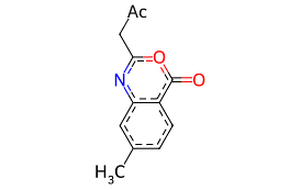 CC(=O)Cc1nc2cc(C)ccc2c(=O)o1